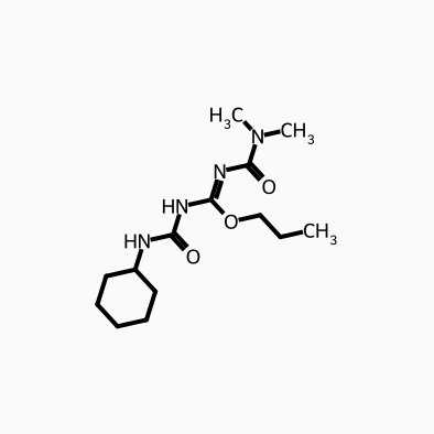 CCCOC(=NC(=O)N(C)C)NC(=O)NC1CCCCC1